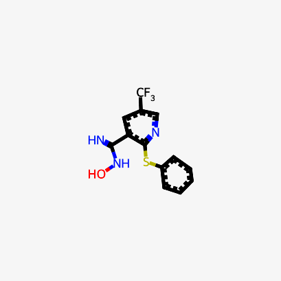 N=C(NO)c1cc(C(F)(F)F)cnc1Sc1ccccc1